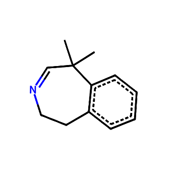 CC1(C)C=NCCc2ccccc21